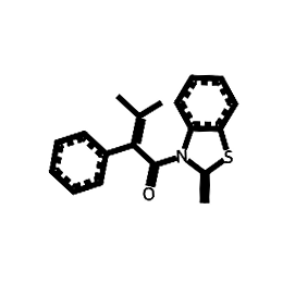 C=C1Sc2ccccc2N1C(=O)C(=C(C)C)c1ccccc1